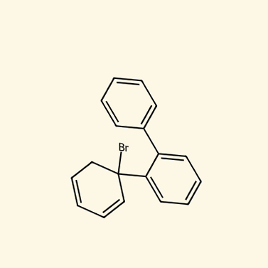 BrC1(c2ccccc2-c2ccccc2)C=CC=CC1